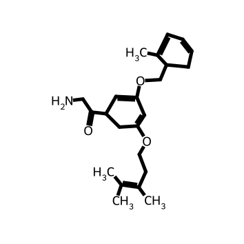 CC1=CC=CCC1COC1=CC(C(=O)CN)CC(OCCC(C)=C(C)C)=C1